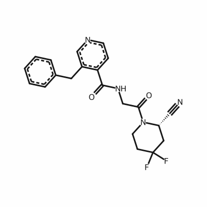 N#C[C@@H]1CC(F)(F)CCN1C(=O)CNC(=O)c1ccncc1Cc1ccccc1